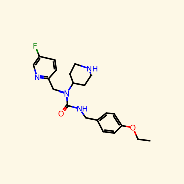 CCOc1ccc(CNC(=O)N(Cc2ccc(F)cn2)C2CCNCC2)cc1